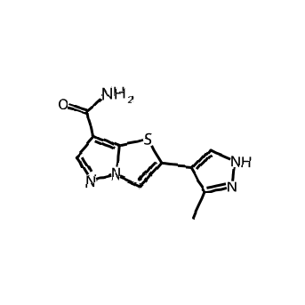 Cc1n[nH]cc1-c1cn2ncc(C(N)=O)c2s1